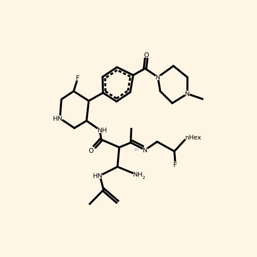 C=C(C)NC(N)C(C(=O)NC1CNCC(F)C1c1ccc(C(=O)N2CCN(C)CC2)cc1)/C(C)=N/CC(F)CCCCCC